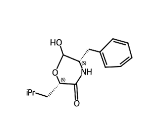 CC(C)C[C@@H]1OC(O)[C@H](Cc2ccccc2)NC1=O